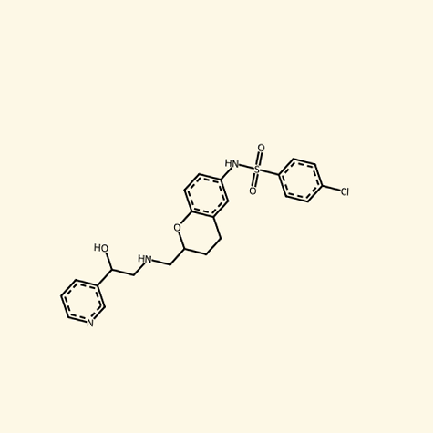 O=S(=O)(Nc1ccc2c(c1)CCC(CNCC(O)c1cccnc1)O2)c1ccc(Cl)cc1